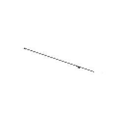 CCCCCCCCCCCC(=O)OCCCCCCCCCCCCCCCCCCCCCCCCCCCCCCCCCCCCCO